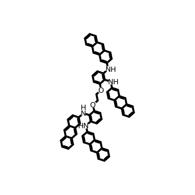 c1cc(Nc2ccc3cc4ccccc4cc3c2)c(Nc2ccc3cc4ccccc4cc3c2)c(OCCOc2cccc(Nc3ccc4cc5ccccc5cc4c3)c2Nc2ccc3cc4ccccc4cc3c2)c1